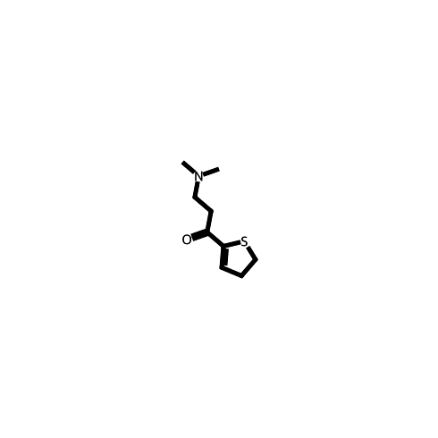 CN(C)CCC(=O)C1=CCCS1